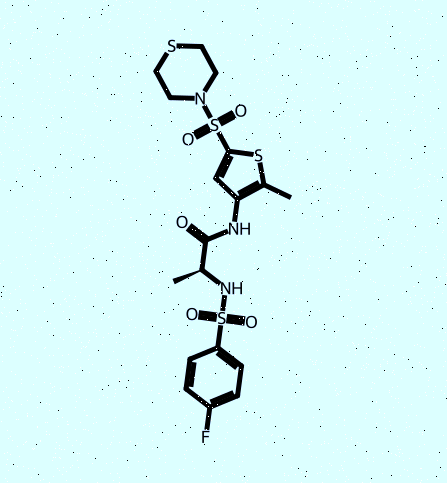 Cc1sc(S(=O)(=O)N2CCSCC2)cc1NC(=O)[C@H](C)NS(=O)(=O)c1ccc(F)cc1